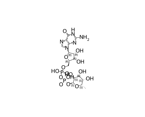 C[C@@H]1O[C@@H](OP(=O)(O)OP(=O)(O)OC[C@H]2O[C@@H](n3cnc4c(=O)[nH]c(N)nc43)[C@H](O)[C@@H]2O)[C@@H](O)[C@H](O)[C@@H]1O